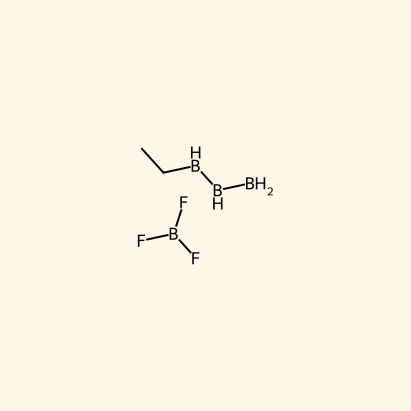 BBBCC.FB(F)F